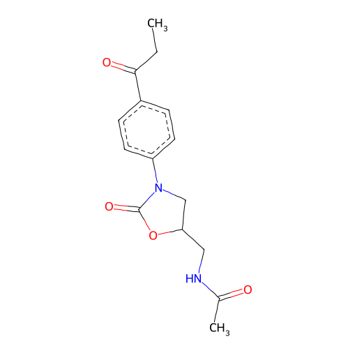 CCC(=O)c1ccc(N2CC(CNC(C)=O)OC2=O)cc1